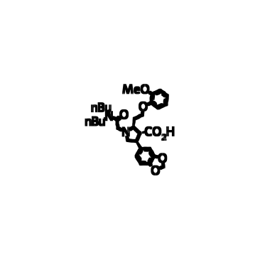 CCCCN(CCCC)C(=O)CN1C[C@H](c2ccc3c(c2)OCO3)[C@@H](C(=O)O)[C@@H]1CCOc1ccccc1OC